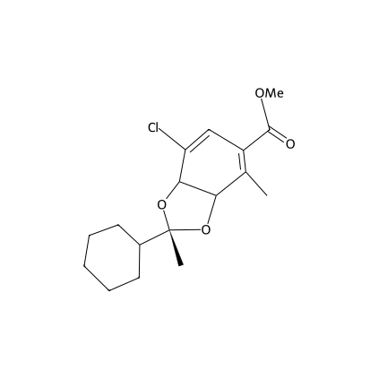 COC(=O)C1=C(C)C2O[C@](C)(C3CCCCC3)OC2C(Cl)=C1